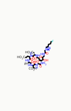 CC(C)C(NC(=O)C(CCC(=O)O)NC(=O)[C@H](CC(=O)O)NC(=O)C1OC(CNC(=O)Cn2cc(CCCF)nn2)C(O)C=C1O)C(=O)NC(CC(=O)O)C(=O)NCC(N)=O